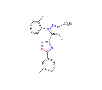 CCOC(=O)c1nn(-c2ccccc2Cl)c(-c2noc(-c3cccc(C)c3)n2)c1Cl